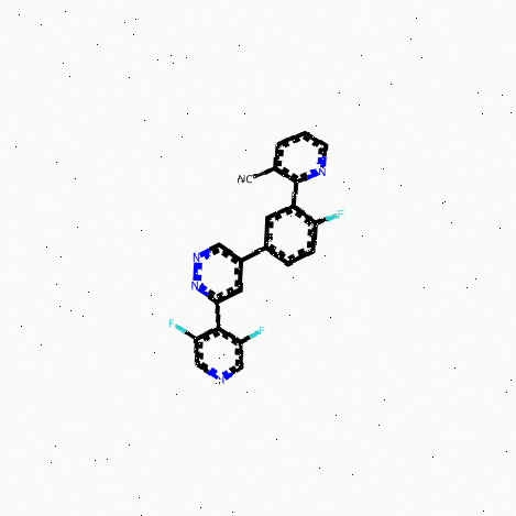 N#Cc1cccnc1-c1cc(-c2cnnc(-c3c(F)cncc3F)c2)ccc1F